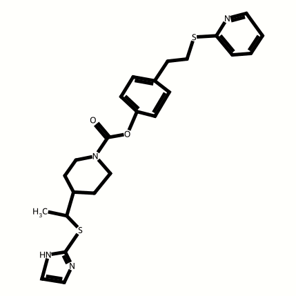 CC(Sc1ncc[nH]1)C1CCN(C(=O)Oc2ccc(CCSc3ccccn3)cc2)CC1